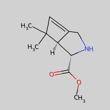 COC(=O)[C@H]1NCC2=CC(C)(C)[C@@H]21